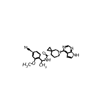 COc1cc(C#N)ccc1C(C)NC(=O)[C@H]1CCN(c2ncnc3[nH]ccc23)CC12CC2